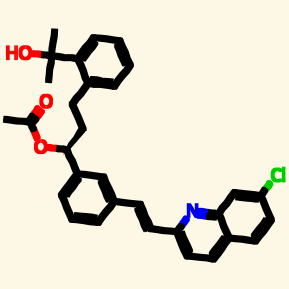 CC(=O)O[C@@H](CCc1ccccc1C(C)(C)O)c1cccc(C=Cc2ccc3ccc(Cl)cc3n2)c1